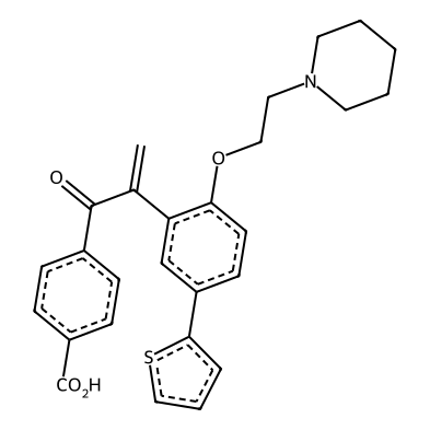 C=C(C(=O)c1ccc(C(=O)O)cc1)c1cc(-c2cccs2)ccc1OCCN1CCCCC1